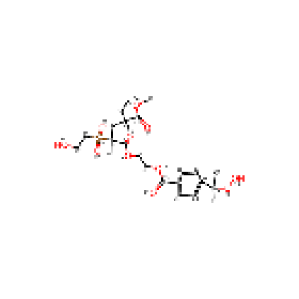 CCC(C)(CC(C)(C(=O)OCCOC(=O)c1ccc(C(C)(C)OO)cc1)S(=O)(=O)CCO)C(=O)OC